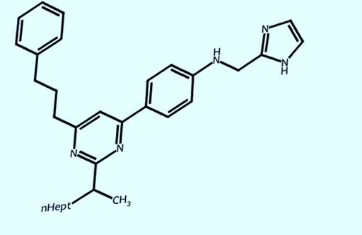 CCCCCCCC(C)c1nc(CCCc2ccccc2)cc(-c2ccc(NCc3ncc[nH]3)cc2)n1